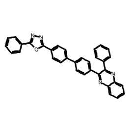 c1ccc(-c2nnc(-c3ccc(-c4ccc(-c5nc6ccccc6nc5-c5ccccc5)cc4)cc3)o2)cc1